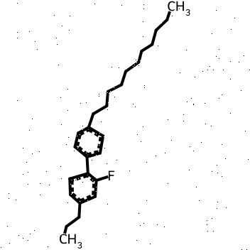 CCCCCCCCCCCc1ccc(-c2ccc(CCC)cc2F)cc1